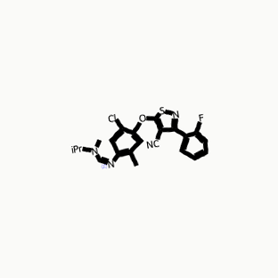 Cc1cc(Oc2snc(-c3ccccc3F)c2C#N)c(Cl)cc1/N=C\N(C)C(C)C